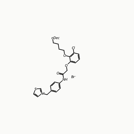 CCCCCCCCCCCCCCOc1c(Cl)cccc1OCC(=O)Nc1ccc(C[n+]2ccsc2)cc1.[Br-]